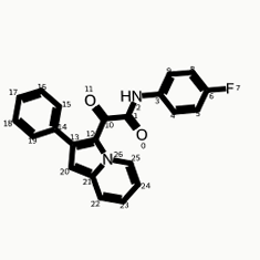 O=C(Nc1ccc(F)cc1)C(=O)c1c(-c2ccccc2)cc2ccccn12